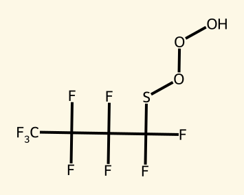 OOOSC(F)(F)C(F)(F)C(F)(F)C(F)(F)F